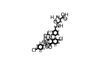 CC(=O)N(c1cccc(CNC(=O)C[C@H](N)C(=O)O)c1)n1c(=O)n(S(=O)(=O)c2ccc(Cl)cc2)c(=O)c2ccc(Cl)cc21